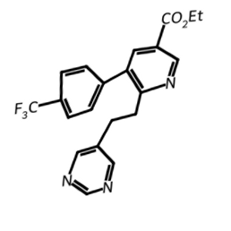 CCOC(=O)c1cnc(CCc2cncnc2)c(-c2ccc(C(F)(F)F)cc2)c1